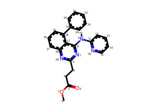 COC(=O)CCc1nc(N(C)c2ccccn2)c2c(-c3ccccc3)cccc2n1